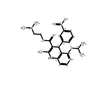 CC1=C(C(=O)OCCN(C)C)C(c2cccc([N+](=O)[O-])c2)c2c(ccnc2OC(C)C)N1